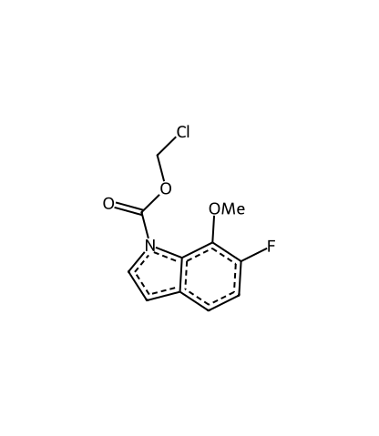 COc1c(F)ccc2ccn(C(=O)OCCl)c12